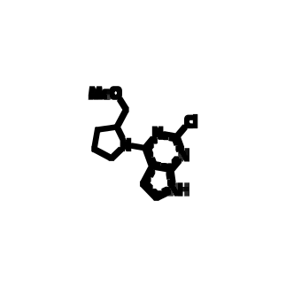 COCC1CCCN1c1nc(Cl)nc2[nH]ccc12